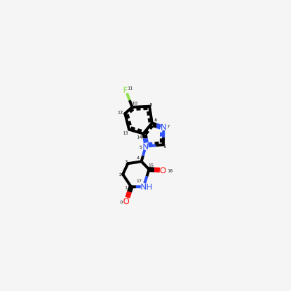 O=C1CCC(n2cnc3cc(F)ccc32)C(=O)N1